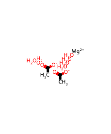 CC(=O)[O-].CC(=O)[O-].O.O.O.O.O.O.[Mg+2]